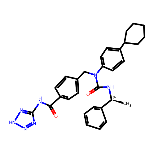 C[C@H](NC(=O)N(Cc1ccc(C(=O)Nc2nn[nH]n2)cc1)c1ccc(C2CCCCC2)cc1)c1ccccc1